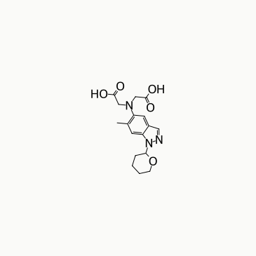 Cc1cc2c(cnn2C2CCCCO2)cc1N(CC(=O)O)CC(=O)O